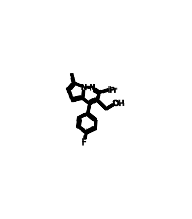 Cc1ccc2c(-c3ccc(F)cc3)c(CO)c(C(C)C)nn12